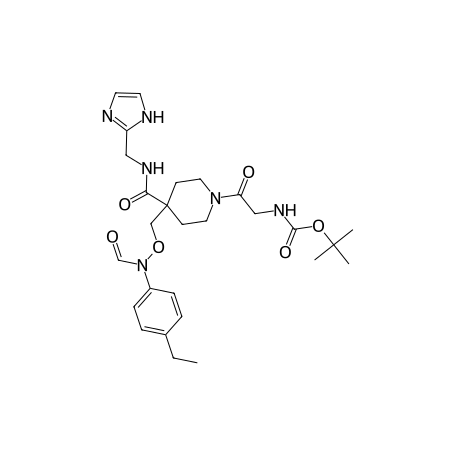 CCc1ccc(N(C=O)OCC2(C(=O)NCc3ncc[nH]3)CCN(C(=O)CNC(=O)OC(C)(C)C)CC2)cc1